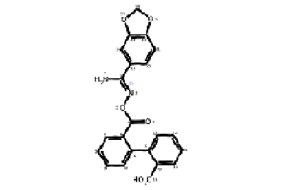 N/C(=N\OC(=O)c1ccccc1-c1ccccc1C(=O)O)c1ccc2c(c1)OCO2